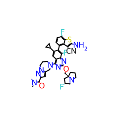 CN(C)C(=O)c1cc2n(n1)CCCN(c1nc(OC[C@@]34CCCN3C[C@H](F)C4)nc3c(F)c(-c4ccc(F)c5sc(N)c(C#N)c45)c(C4CC4)cc13)C2